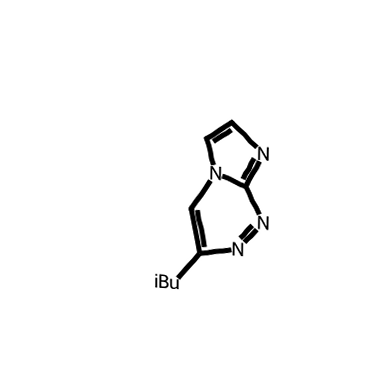 CCC(C)c1cn2ccnc2nn1